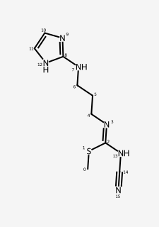 CS/C(=N\CCCNc1ncc[nH]1)NC#N